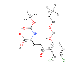 CC(C)(C)OC(=O)N[C@@H](CCC(=O)c1c(OCOCC[Si](C)(C)C)ccc(Cl)c1Cl)C(=O)O